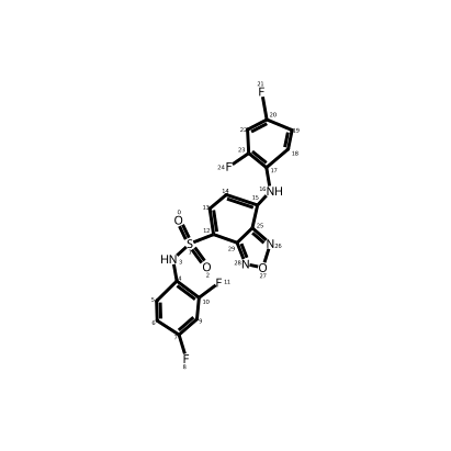 O=S(=O)(Nc1ccc(F)cc1F)c1ccc(Nc2ccc(F)cc2F)c2nonc12